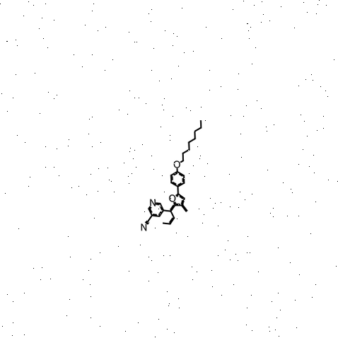 C=c1cc(-c2ccc(OCCCCCCCC)cc2)o/c1=C(/C=C\C)c1cncc(C#N)c1